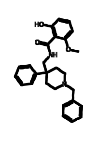 COc1cccc(O)c1C(=O)NCC1(c2ccccc2)CCN(Cc2ccccc2)CC1